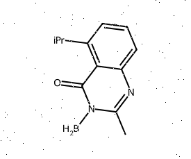 Bn1c(C)nc2cccc(C(C)C)c2c1=O